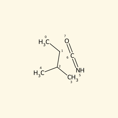 CCC(C)C.N=C=O